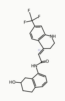 O=C(/C=C1\CCNc2cc(C(F)(F)F)ccc21)Nc1cccc2c1CC(O)CC2